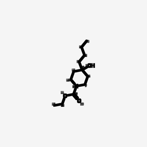 CCCCC1(O)CCN(C(=O)OCC)CC1